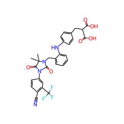 CC1(C)C(=O)N(c2ccc(C#N)c(C(F)(F)F)c2)C(=O)N1Cc1ccccc1Nc1ccc(CC(C(=O)O)C(=O)O)cc1